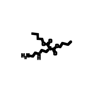 CCCCOC(=O)N(CCNCCN)C(=O)OCCCC